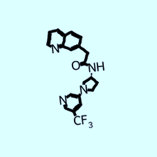 O=C(Cc1ccc2cccnc2c1)N[C@@H]1CCN(c2cncc(C(F)(F)F)c2)C1